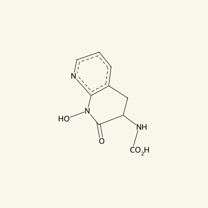 O=C(O)NC1Cc2cccnc2N(O)C1=O